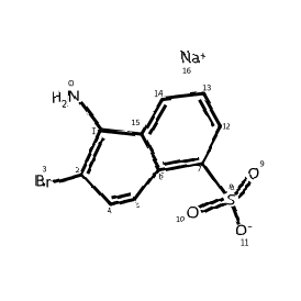 Nc1c(Br)ccc2c(S(=O)(=O)[O-])cccc12.[Na+]